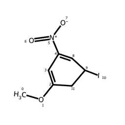 COC1=CC([N+](=O)[O-])=CC(I)C1